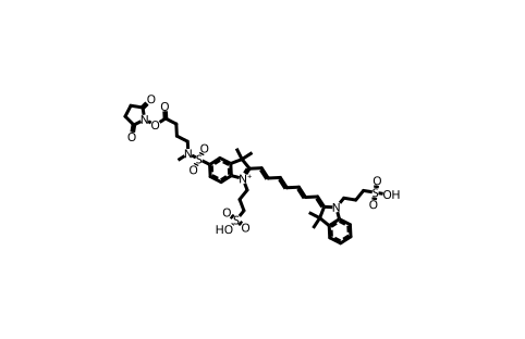 CN(CCCC(=O)ON1C(=O)CCC1=O)S(=O)(=O)c1ccc2c(c1)C(C)(C)C(/C=C/C=C/C=C/C=C1/N(CCCS(=O)(=O)O)c3ccccc3C1(C)C)=[N+]2CCCS(=O)(=O)O